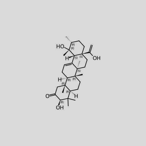 C=C(O)[C@]12CC[C@@H](C)[C@@](C)(O)[C@H]1C1=CC[C@@H]3[C@@]4(C)CC(=O)[C@H](O)C(C)(C)[C@@H]4CC[C@@]3(C)[C@]1(C)CC2